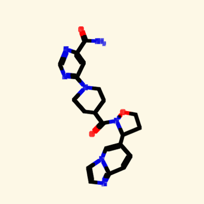 NC(=O)c1cc(N2CCC(C(=O)N3OCCC3c3ccc4nccn4c3)CC2)ncn1